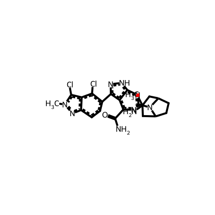 Cn1nc2ccc(-c3n[nH]c4nc(N5C6CCC5CC(C)(N)C6)nc(C(N)=O)c34)c(Cl)c2c1Cl